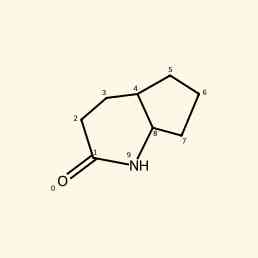 O=C1CCC2CCCC2N1